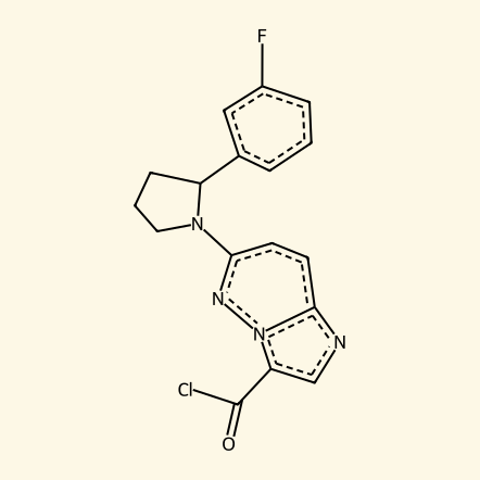 O=C(Cl)c1cnc2ccc(N3CCCC3c3cccc(F)c3)nn12